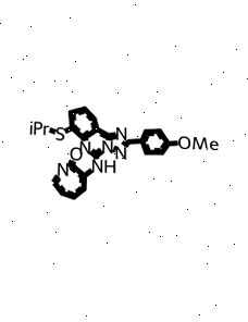 COc1ccc(-c2nc3c4cccc(SC(C)C)c4nc(Nc4ccccnc4=O)n3n2)cc1